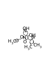 COCCON1C(=O)C(c2cc(C)c(C)cc2Br)=C(O)C12CCN(O)CC2